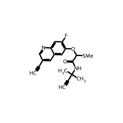 C#Cc1cnc2cc(F)c(OC(SC)C(=O)NC(C)(C)C#C)cc2c1